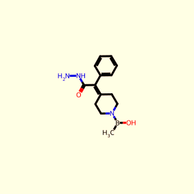 CB(O)N1CCC(=C(C(=O)NN)c2ccccc2)CC1